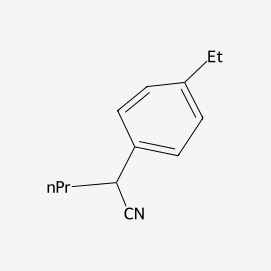 CCCC(C#N)c1ccc(CC)cc1